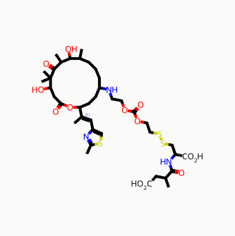 C/C(=C\c1csc(C)n1)C1CCC(NCCOC(=O)OCCSSCC(NC(=O)C(C)CC(=O)O)C(=O)O)CCCC(C)C(O)C(C)C(=O)C(C)(C)C(O)CC(=O)O1